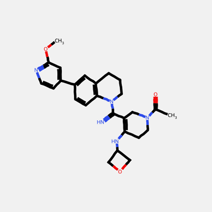 COc1cc(-c2ccc3c(c2)CCCN3C(=N)C2=C(NC3COC3)CCN(C(C)=O)C2)ccn1